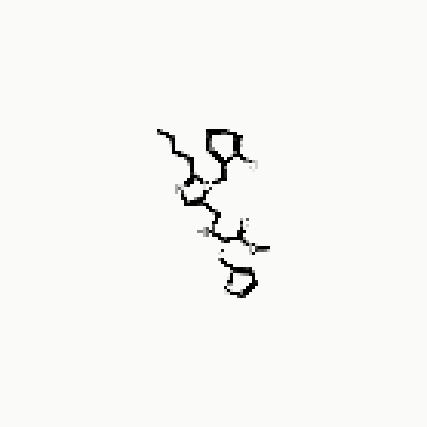 CCCCc1ncc(CN[C@@H](Cc2cccs2)C(=O)OC)n1Cc1ccccc1Cl